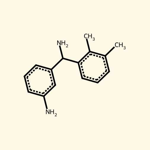 Cc1cccc(C(N)c2cccc(N)c2)c1C